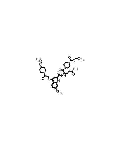 CCOC(=O)N1CCN(C(=O)C(CCC(=O)O)NC(=O)c2cc(OCC(=O)N3CCC(OCC)CC3)c3ccc(C)cc3n2)CC1